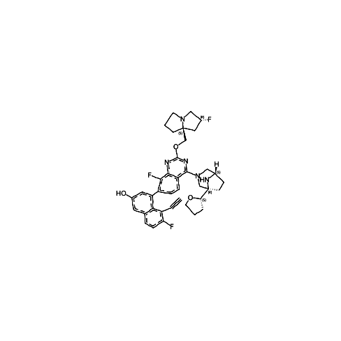 C#Cc1c(F)ccc2cc(O)cc(-c3ccc4c(N5C[C@@H]6CC[C@]([C@@H]7CCCO7)(C5)N6)nc(OC[C@@]56CCCN5C[C@H](F)C6)nc4c3F)c12